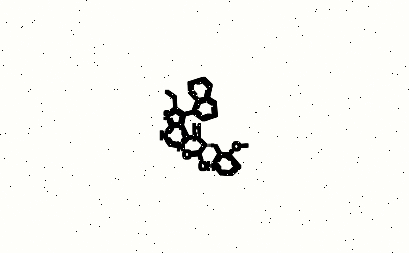 CCc1sc2ncnc(N[C@H](Cc3ccccc3OC)C(=O)O)c2c1-c1cccc2ccccc12